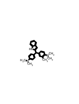 Cc1cc(C(c2ccc(N(C)C)cc2)c2cc3ccccc3[nH]2)ccc1N(C)C